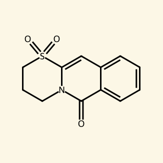 O=c1c2ccccc2cc2n1CCCS2(=O)=O